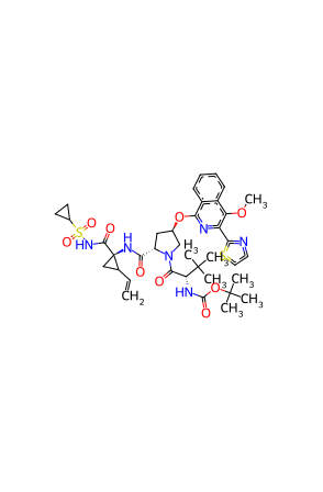 C=CC1C[C@]1(NC(=O)[C@@H]1C[C@@H](Oc2nc(-c3nccs3)c(OC)c3ccccc23)CN1C(=O)[C@@H](NC(=O)OC(C)(C)C)C(C)(C)C)C(=O)NS(=O)(=O)C1CC1